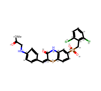 COC(=O)CNc1ccc(/C=C2/Sc3ccc(S(=O)(=O)Cc4c(Br)cccc4Br)cc3NC2=O)cc1